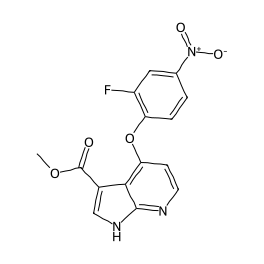 COC(=O)c1c[nH]c2nccc(Oc3ccc([N+](=O)[O-])cc3F)c12